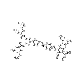 CCCCC(CC)CN1C(=O)C(/C=C/c2ccc(/N=N/c3ccc(N(CCOC(=O)C(CC)CCCC)CCOC(=O)C(CC)CCCC)cc3)cc2)=C(C#N)C1=C(C#N)C#N